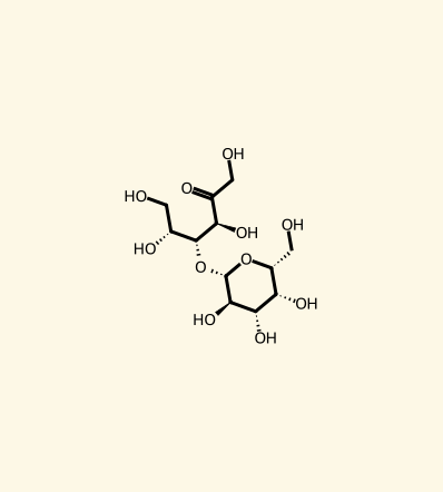 O=C(CO)[C@@H](O)[C@H](O[C@@H]1O[C@H](CO)[C@H](O)[C@H](O)[C@H]1O)[C@H](O)CO